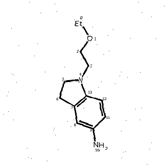 CCOCCN1CCc2cc(N)ccc21